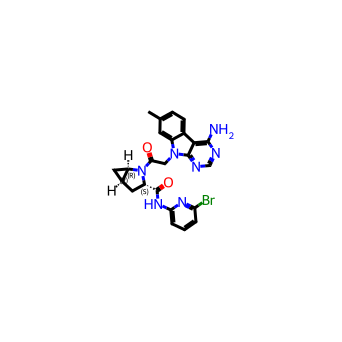 Cc1ccc2c3c(N)ncnc3n(CC(=O)N3[C@@H]4C[C@@H]4C[C@H]3C(=O)Nc3cccc(Br)n3)c2c1